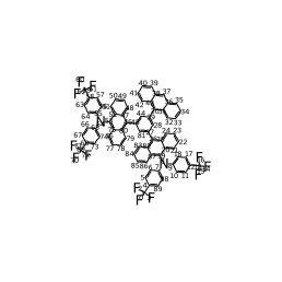 FC(F)(F)c1ccc(N(c2ccc(C(F)(F)F)cc2)c2c3ccccc3c(-c3cc(-c4c5ccccc5cc5ccccc45)cc(-c4c5ccccc5c(N(c5ccc(C(F)(F)F)cc5)c5ccc(C(F)(F)F)cc5)c5ccccc45)c3)c3ccccc23)cc1